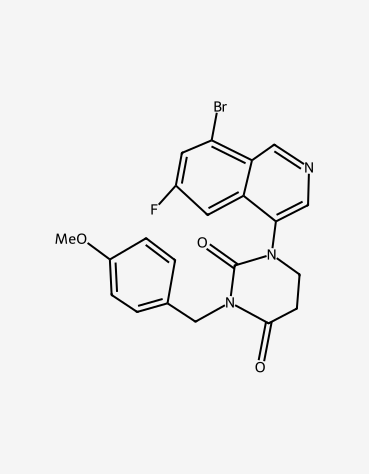 COc1ccc(CN2C(=O)CCN(c3cncc4c(Br)cc(F)cc34)C2=O)cc1